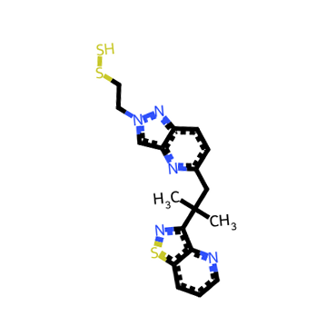 CC(C)(Cc1ccc2nn(CCSS)cc2n1)c1nsc2cccnc12